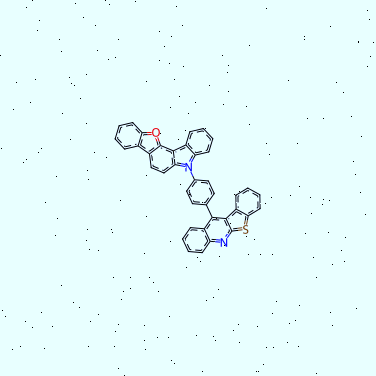 c1ccc2c(-c3ccc(-n4c5ccccc5c5c6oc7ccccc7c6ccc54)cc3)c3c(nc2c1)sc1ccccc13